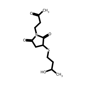 CC(=O)CCN1C(=O)CC(SCCC(C)O)C1=O